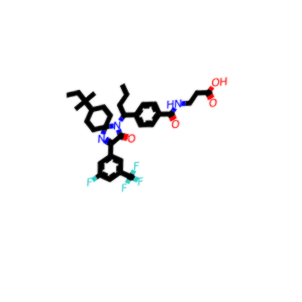 CCCC(c1ccc(C(=O)NCCC(=O)O)cc1)N1C(=O)C(c2cc(F)cc(C(F)(F)F)c2)=NC12CCC(C(C)(C)CC)CC2